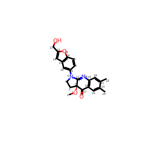 CO[C@@]12CCN(c3ccc4oc(CO)cc4c3)C1=Nc1cc(C)c(C)cc1C2=O